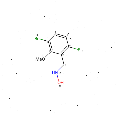 COc1c(Br)ccc(F)c1CNO